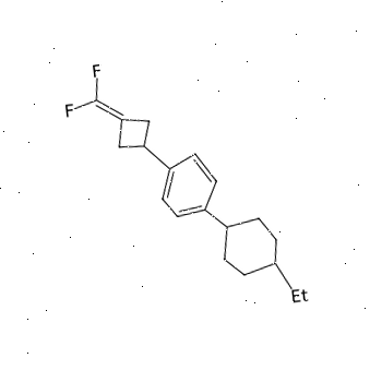 CCC1CCC(c2ccc(C3CC(=C(F)F)C3)cc2)CC1